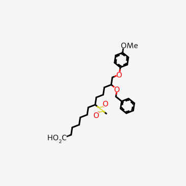 COc1ccc(OCC(CCCC(CCCCCCC(=O)O)S(C)(=O)=O)OCc2ccccc2)cc1